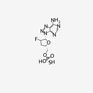 Nc1ncnc2c1nnn2[C@@H]1O[C@H](COP(=O)(O)S)CC1F